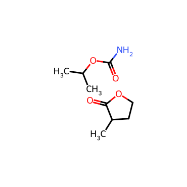 CC(C)OC(N)=O.CC1CCOC1=O